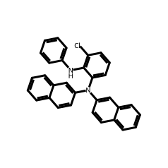 Clc1cccc(N(c2ccc3ccccc3c2)c2ccc3ccccc3c2)c1Nc1ccccc1